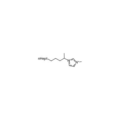 CCCCCCCCCCC(C)n1cc[n+](C)c1